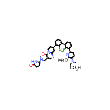 COc1nc(-c2cccc(-c3cccc(-c4ccn5c(=O)c(CN(C)[C@H]6CCC(=O)N6)cnc5c4)c3Cl)c2Cl)ccc1N(C)CC(=O)O